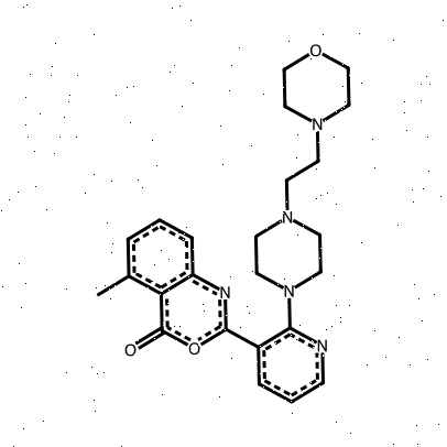 Cc1cccc2nc(-c3cccnc3N3CCN(CCN4CCOCC4)CC3)oc(=O)c12